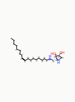 CCCCCCCC/C=C\CCCCCCCCNC[C@H]1NC[C@H](O)[C@@H]1O